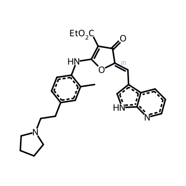 CCOC(=O)C1=C(Nc2ccc(CCN3CCCC3)cc2C)O/C(=C\c2c[nH]c3ncccc23)C1=O